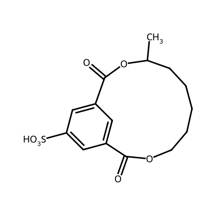 CC1CCCCCOC(=O)c2cc(cc(S(=O)(=O)O)c2)C(=O)O1